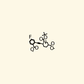 COC(=O)c1ccc(F)cc1C#CC1CCC(C(=O)OC)CN1C(=O)OC(C)(C)C